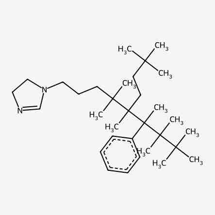 CC(C)(C)CCC(C)(C(C)(C)CCCN1C=NCC1)C(C)(c1ccccc1)C(C)(C)C(C)(C)C